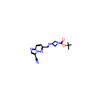 CC(C)(C)OC(=O)N1CC(/N=C/c2ccc3ncc(C#N)n3n2)C1